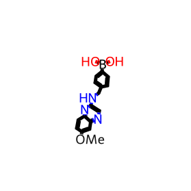 COc1ccc2nc(NCc3ccc(B(O)O)cc3)cnc2c1